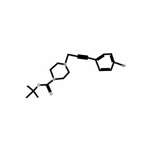 CC(C)(C)OC(=O)N1CCN(CC#Cc2ccc(Br)cc2)CC1